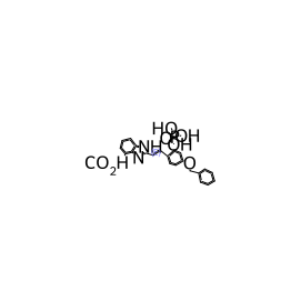 O=C(O)c1cccc2[nH]c(/C=C/c3ccc(OCc4ccccc4)cc3)nc12.O=P(O)(O)O